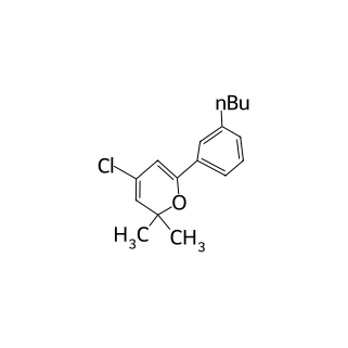 CCCCc1cccc(C2=CC(Cl)=CC(C)(C)O2)c1